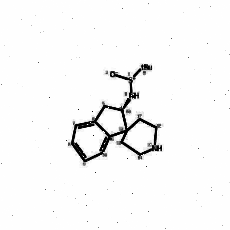 CC(C)(C)[S+]([O-])N[C@@H]1Cc2ccccc2C12CCNCC2